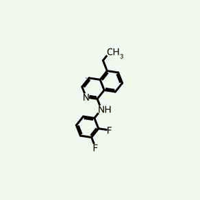 CCc1cccc2c(Nc3cccc(F)c3F)nc[c]c12